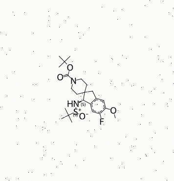 COc1cc2c(cc1F)[C@@H](N[S@+]([O-])C(C)(C)C)C1(CCN(C(=O)OC(C)(C)C)CC1)C2